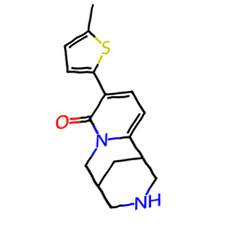 Cc1ccc(-c2ccc3n(c2=O)CC2CNCC3C2)s1